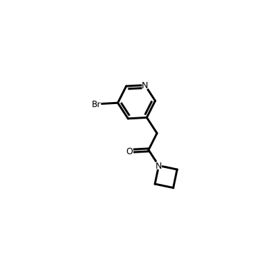 O=C(Cc1cncc(Br)c1)N1CCC1